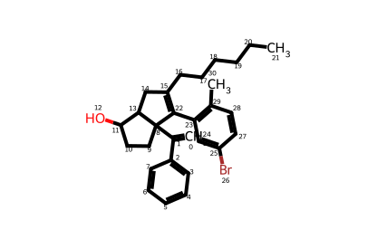 C=C(c1ccccc1)C12CCC(O)C1CC(CCCCCC)=C2c1cc(Br)ccc1C